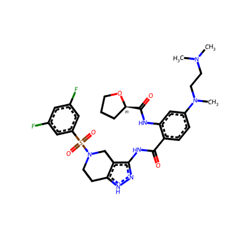 CN(C)CCN(C)c1ccc(C(=O)Nc2n[nH]c3c2CN(S(=O)(=O)c2cc(F)cc(F)c2)CC3)c(NC(=O)[C@H]2CCCO2)c1